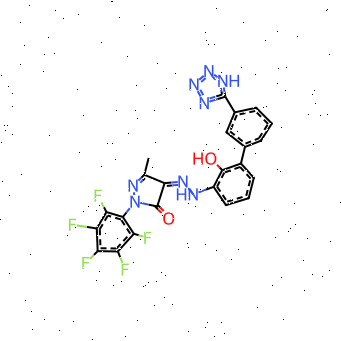 CC1=NN(c2c(F)c(F)c(F)c(F)c2F)C(=O)C1=NNc1cccc(-c2cccc(-c3nnn[nH]3)c2)c1O